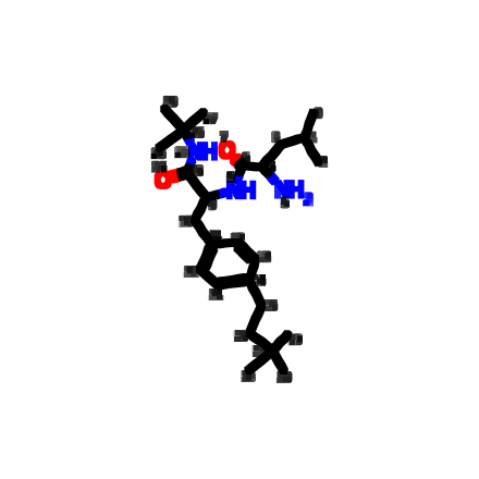 CC(C)CC(N)C(=O)NC(Cc1ccc(CCC(C)(C)C)cc1)C(=O)NC(C)(C)C